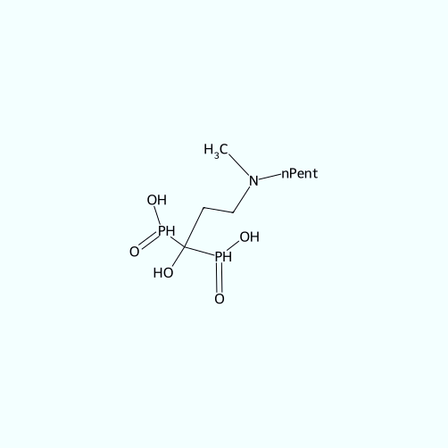 CCCCCN(C)CCC(O)([PH](=O)O)[PH](=O)O